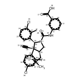 CC(C)(C)C[C@@H]1CN(C(=O)Nc2cccc(C(=O)O)c2)[C@H](c2cccc(Cl)c2F)[C@@]1(C#N)c1ccc(Cl)cc1F